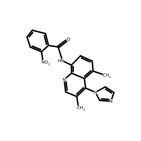 Cc1cnc2c(NC(=O)c3ccccc3[N+](=O)[O-])ccc(C)c2c1-n1ccnc1